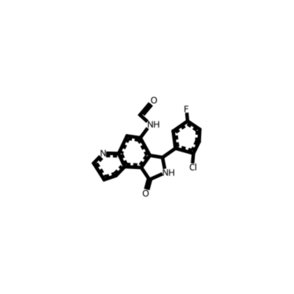 O=CNc1cc2ncccc2c2c1C(c1cc(F)ccc1Cl)NC2=O